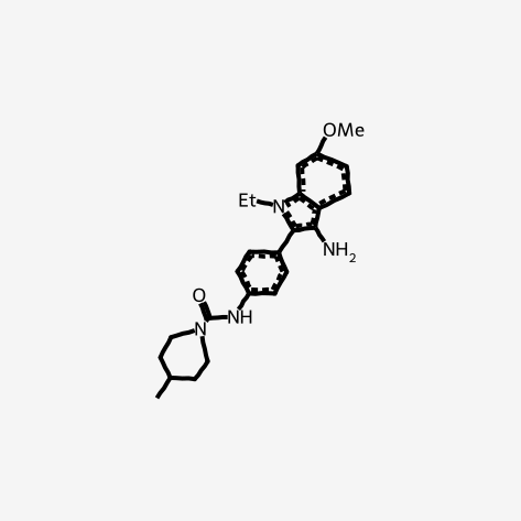 CCn1c(-c2ccc(NC(=O)N3CCC(C)CC3)cc2)c(N)c2ccc(OC)cc21